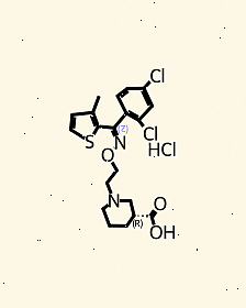 Cc1ccsc1/C(=N\OCCN1CCC[C@@H](C(=O)O)C1)c1ccc(Cl)cc1Cl.Cl